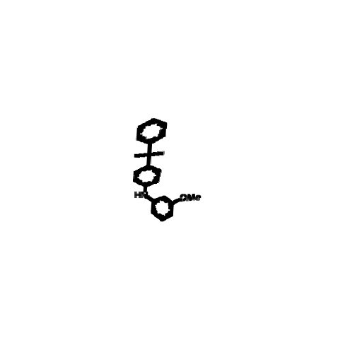 COc1cccc(Nc2ccc(C(C)(C)c3ccccc3)cc2)c1